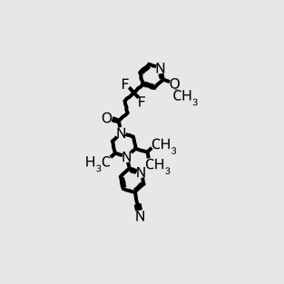 COc1cc(C(F)(F)CCC(=O)N2CC(C)N(c3ccc(C#N)cn3)C(C(C)C)C2)ccn1